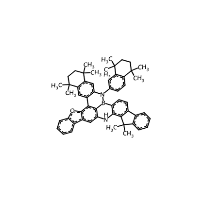 CC1(C)CCC(C)(C)c2cc(N3B4c5ccc6c(c5Nc5cc7c(oc8ccccc87)c(c54)-c4cc5c(cc43)C(C)(C)CCC5(C)C)C(C)(C)c3ccccc3-6)ccc21